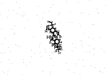 C=CC(C)(C)c1cc2nc(C)nc(N[C@H](C)c3cccc(C(F)(F)C(C)(C)C)c3F)c2cc1N(C)C